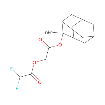 CCCC1(OC(=O)COC(=O)C(F)F)C2CC3CC(C2)CC1C3